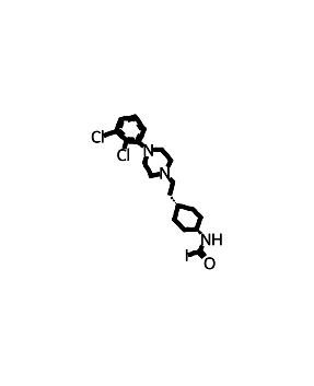 O=C(I)N[C@H]1CC[C@H](CCN2CCN(c3cccc(Cl)c3Cl)CC2)CC1